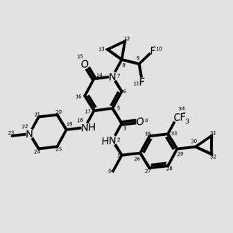 CC(NC(=O)c1cn(C2(C(F)F)CC2)c(=O)cc1NC1CCN(C)CC1)c1ccc(C2CC2)c(C(F)(F)F)c1